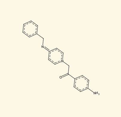 Nc1ccc(C(=O)Cn2ccc(=NCc3ccccc3)cc2)cc1